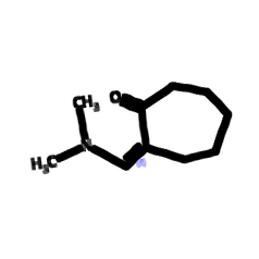 CN(C)/C=C1/CCCCCC1=O